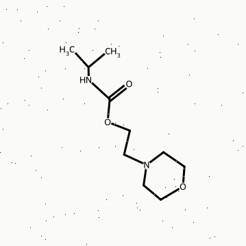 CC(C)NC(=O)OCCN1CCOCC1